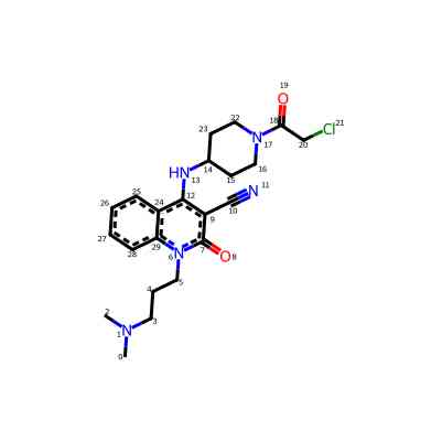 CN(C)CCCn1c(=O)c(C#N)c(NC2CCN(C(=O)CCl)CC2)c2ccccc21